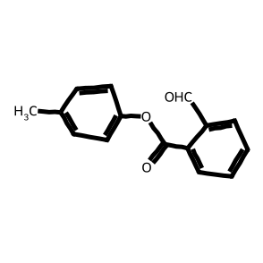 Cc1ccc(OC(=O)c2ccccc2C=O)cc1